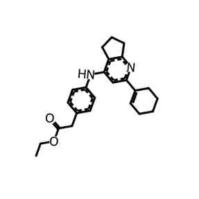 CCOC(=O)Cc1ccc(Nc2cc(C3=CCCCC3)nc3c2CCC3)cc1